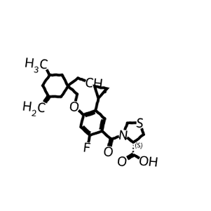 C=C1CC(C)CC(CC)(COc2cc(F)c(C(=O)N3CSC[C@@H]3C(=O)O)cc2C2CC2)C1